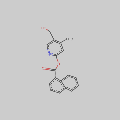 O=Cc1cc(OC(=O)c2cccc3ccccc23)ncc1CO